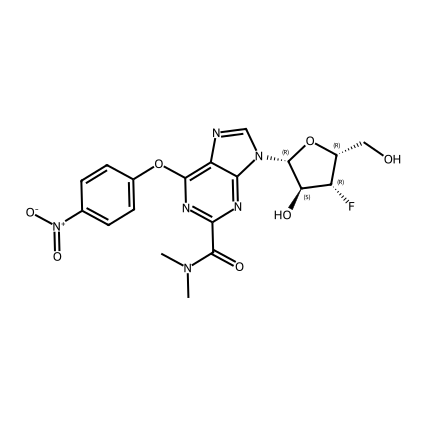 CN(C)C(=O)c1nc(Oc2ccc([N+](=O)[O-])cc2)c2ncn([C@@H]3O[C@H](CO)[C@H](F)[C@H]3O)c2n1